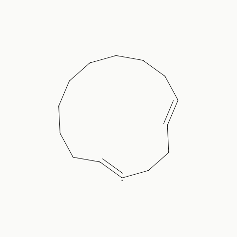 [C]1=C/CCCCCCCC/C=C/CC/1